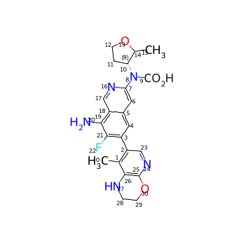 Cc1c(-c2cc3cc(N(C(=O)O)[C@@H]4CCOC4C)ncc3c(N)c2F)cnc2c1NCCO2